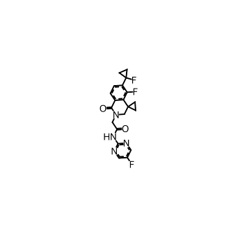 O=C(CN1CC2(CC2)c2c(ccc(C3(F)CC3)c2F)C1=O)Nc1ncc(F)cn1